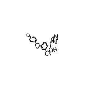 CC(O)(Cn1cncn1)c1ccc(Oc2ccc(Cl)cc2)cc1Cl